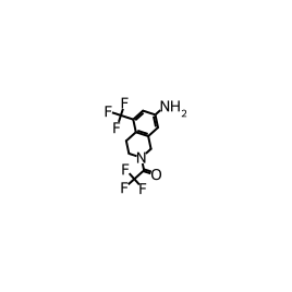 Nc1cc2c(c(C(F)(F)F)c1)CCN(C(=O)C(F)(F)F)C2